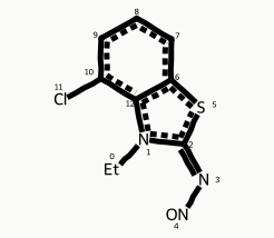 CCn1c(=NN=O)sc2cccc(Cl)c21